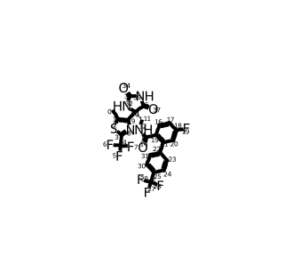 Cc1sc(C(F)(F)F)nc1[C@@]1(CNC(=O)c2ccc(F)cc2-c2ccc(C(F)(F)F)cc2)NC(=O)NC1=O